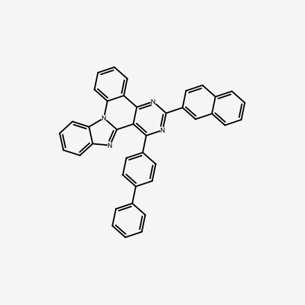 c1ccc(-c2ccc(-c3nc(-c4ccc5ccccc5c4)nc4c5ccccc5n5c6ccccc6nc5c34)cc2)cc1